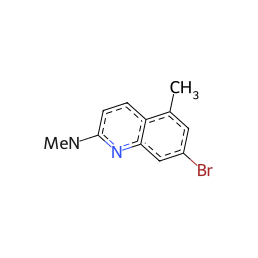 CNc1ccc2c(C)cc(Br)cc2n1